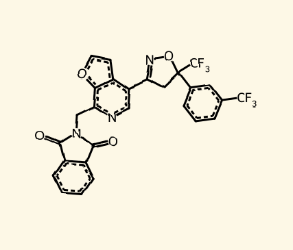 O=C1c2ccccc2C(=O)N1Cc1ncc(C2=NOC(c3cccc(C(F)(F)F)c3)(C(F)(F)F)C2)c2ccoc12